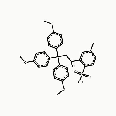 COc1ccc(C(CC(O)c2cc(C)ccc2S(=O)(=O)O)(c2ccc(OC)cc2)c2ccc(OC)cc2)cc1